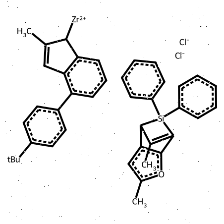 CC1=C2c3oc(C)cc3C1[Si]2(c1ccccc1)c1ccccc1.CC1=Cc2c(-c3ccc(C(C)(C)C)cc3)cccc2[CH]1[Zr+2].[Cl-].[Cl-]